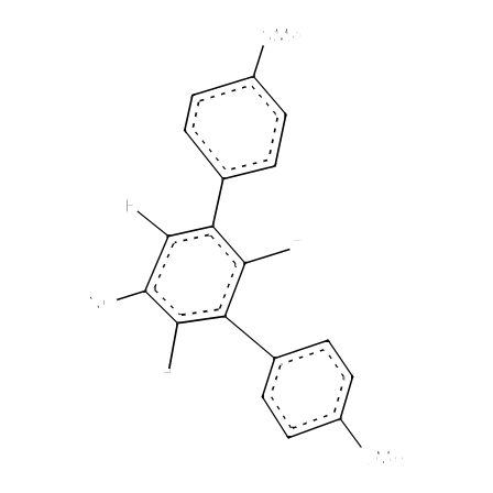 CSc1ccc(-c2c(F)c(C#N)c(F)c(-c3ccc(SC)cc3)c2F)cc1